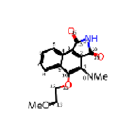 CNc1c2c(c3ccccc3c1OCCOC)C(=O)NC2=O